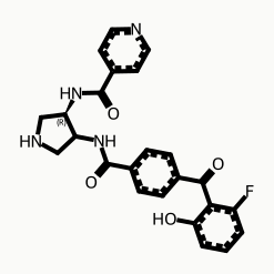 O=C(NC1CNC[C@H]1NC(=O)c1ccncc1)c1ccc(C(=O)c2c(O)cccc2F)cc1